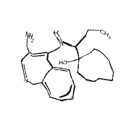 CCC(Nc1c(N)cnc2ccccc12)C1(O)CCCCC1